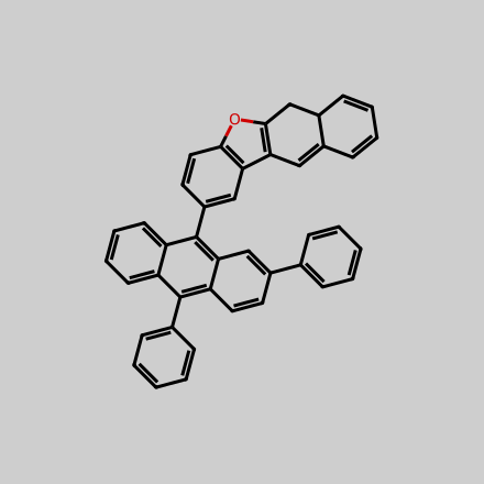 C1=CC2=Cc3c(oc4ccc(-c5c6ccccc6c(-c6ccccc6)c6ccc(-c7ccccc7)cc56)cc34)CC2C=C1